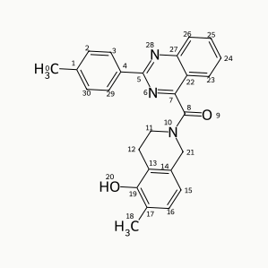 Cc1ccc(-c2nc(C(=O)N3CCc4c(ccc(C)c4O)C3)c3ccccc3n2)cc1